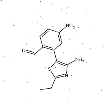 CCc1nc(N)c(-c2cc(N)ccc2C=O)s1